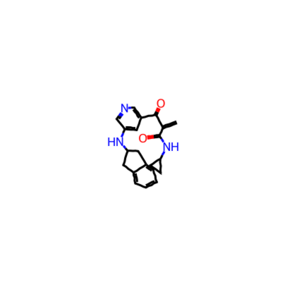 C=C(C(=O)NC1CC1)C(=O)c1cncc(NC2Cc3ccccc3C2)c1